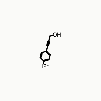 CC(C)c1ccc(C#CCO)cc1